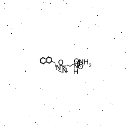 CN1CCN(CCc2ccc3ccccc3c2)C(=O)[C@@H]1CCCNS(N)(=O)=O